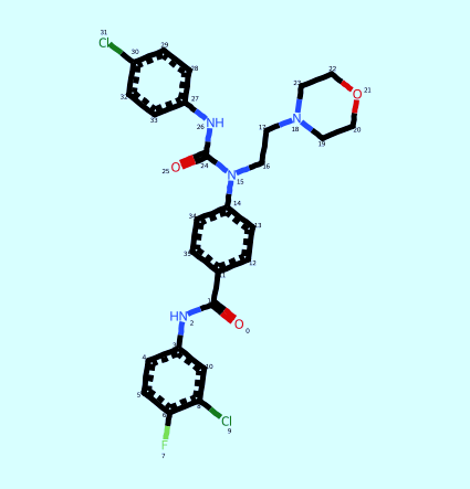 O=C(Nc1ccc(F)c(Cl)c1)c1ccc(N(CCN2CCOCC2)C(=O)Nc2ccc(Cl)cc2)cc1